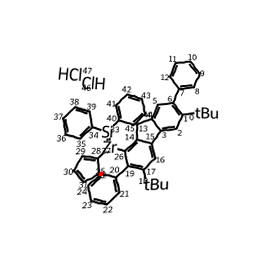 CC(C)(C)c1cc2c(cc1-c1ccccc1)Cc1c-2cc(C(C)(C)C)c(-c2ccccc2)[c]1[Zr]([C]1=CC=CC1)=[Si](c1ccccc1)c1ccccc1.Cl.Cl